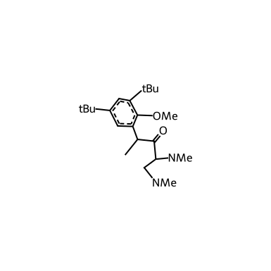 CNCC(NC)C(=O)C(C)c1cc(C(C)(C)C)cc(C(C)(C)C)c1OC